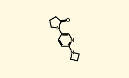 O=C1CCCN1c1ccc(N2CCC2)nc1